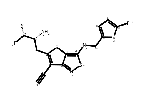 C#Cc1c(C[C@@H](N)[C@@H](C)F)sc2c(NCc3ccc(F)s3)snc12